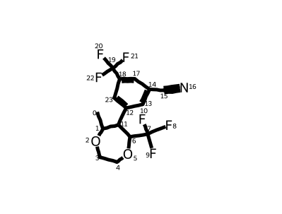 CC1OCCOC(C(F)(F)F)C1c1cc(C#N)cc(C(F)(F)F)c1